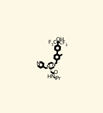 Cc1cc(CN2CCN(Cc3ccncc3)[C@@H](CC(=O)NC(C)C)C2)ccc1-c1ccc(C(O)(C(F)(F)F)C(F)(F)F)cc1